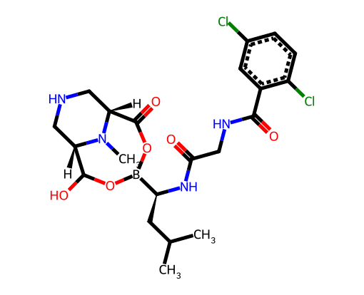 CC(C)C[C@H](NC(=O)CNC(=O)c1cc(Cl)ccc1Cl)B1OC(=O)[C@H]2CNC[C@@H](C(O)O1)N2C